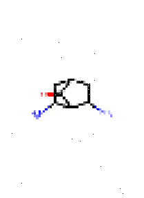 NC1CC2CC(N)C1C2=O